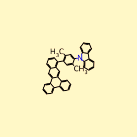 Cc1cc(-n2c3ccccc3c3ccccc32)c(C)cc1-c1cccc2cc3c4ccccc4c4ccccc4c3cc12